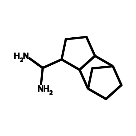 NC(N)C1CCC2C3CCC(C3)C12